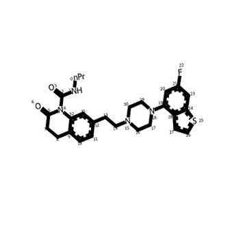 CCCNC(=O)N1C(=O)CCc2ccc(CCN3CCN(c4cc(F)cc5sccc45)CC3)cc21